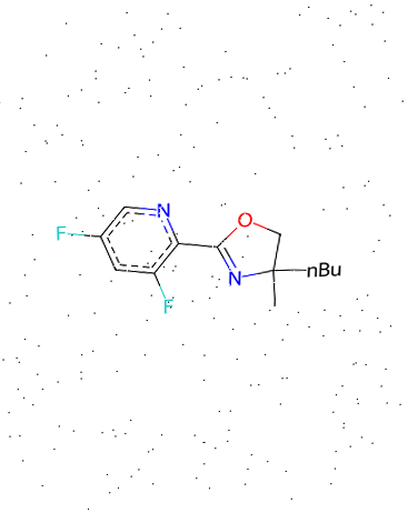 CCCCC1(C)COC(c2ncc(F)cc2F)=N1